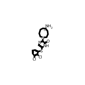 N[C@H]1CCCCN(c2ncc(Sc3cccc(Cl)c3Cl)[nH]c2=O)CCC1